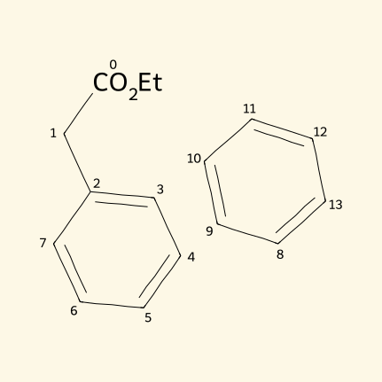 CCOC(=O)Cc1ccccc1.c1ccccc1